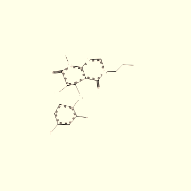 Cn1c(=O)c(Cl)c(Nc2ccc(I)cc2F)c2c(=O)n(CCO)cnc21